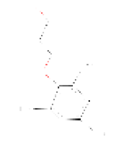 COc1cc(C(=O)O)cc(C)c1OCCCO